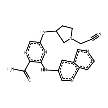 N#CCN1CCC(Nc2cnc(C(N)=O)c(Nc3cnc4ccncc4c3)n2)C1